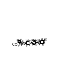 O=C(O)C1(COC2CCN(c3ccc(-c4nc5ccc(Cl)cc5[nH]4)cn3)CC2)CCC1